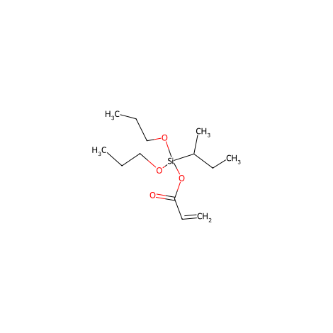 C=CC(=O)O[Si](OCCC)(OCCC)C(C)CC